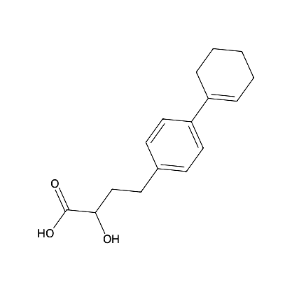 O=C(O)C(O)CCc1ccc(C2=CCCCC2)cc1